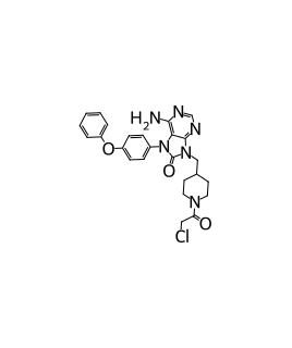 Nc1ncnc2c1n(-c1ccc(Oc3ccccc3)cc1)c(=O)n2CC1CCN(C(=O)CCl)CC1